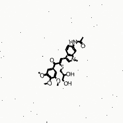 COc1cc(C(=O)C(=Cc2cn(C)c3cc(NC(C)=O)ccc23)SCC(O)CO)cc(OC)c1OC